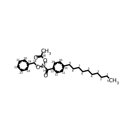 CCCCCCCCCCc1ccc(C(=O)N(OCc2ccccc2)OC(C)=O)cc1